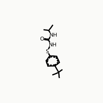 CC(C)NC(=O)NSc1ccc(C(C)(C)C)cc1